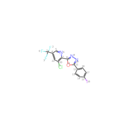 FC(F)(F)c1cnc(-c2nnc(-c3ccc(I)cc3)o2)c(Cl)c1